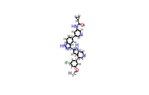 COc1cc(F)cc(-c2cncc3[nH]c(-c4n[nH]c5ccc(-c6cncc(NC(=O)C7CC7)c6)cc45)cc23)c1